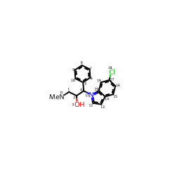 CNCC(O)C(c1ccccc1)n1ccc2ccc(Cl)cc21